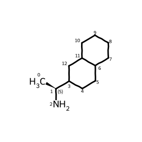 C[C@H](N)C1CCC2CCCCC2C1